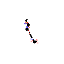 O=C(Nc1cccc(COCCOCCCCCCNC[C@@H](O)c2ccc(O)c(CO)c2)c1)c1cccc(NS(=O)(=O)c2cccs2)c1